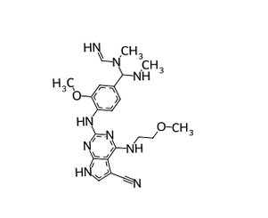 CNC(c1ccc(Nc2nc(NCCOC)c3c(C#N)c[nH]c3n2)c(OC)c1)N(C)C=N